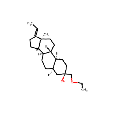 CC=C1CC[C@H]2[C@@H]3CC[C@@H]4C[C@@](O)(COCC)CC[C@@H]4[C@H]3CC[C@]12C